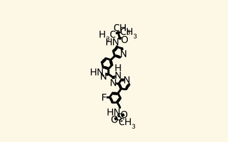 CC(C)(C)C(=O)Nc1cncc(-c2ccc3[nH]nc(-c4nc5c(-c6cc(F)cc(CNS(C)(=O)=O)c6)ccnc5[nH]4)c3c2)c1